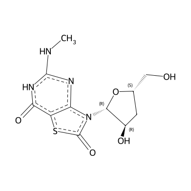 CNc1nc2c(sc(=O)n2[C@@H]2O[C@H](CO)C[C@H]2O)c(=O)[nH]1